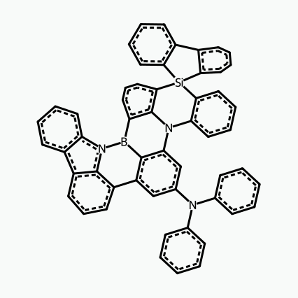 c1ccc(N(c2ccccc2)c2cc3c4c(c2)N2c5ccccc5[Si]5(c6ccccc6-c6ccccc65)c5cccc(c52)B4n2c4ccccc4c4cccc-3c42)cc1